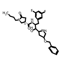 CCCCN1C[C@@H](C(=O)NC(Cc2cc(F)cc(F)c2)C(O)C2CC(OCc3ccccc3)CN2)CC1=O